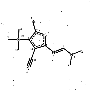 CN(C)/C=N/c1sc(Br)c([Si](C)(C)C)c1C#N